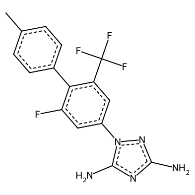 Cc1ccc(-c2c(F)cc(-n3nc(N)nc3N)cc2C(F)(F)F)cc1